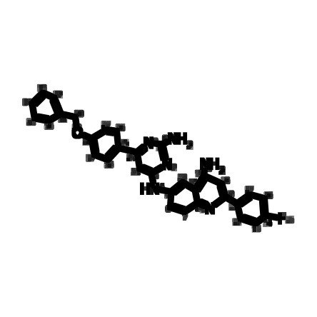 Nc1nc(Nc2ccc3nc(-c4ccc(F)cc4)cc(N)c3c2)cc(-c2ccc(OCc3ccccc3)cc2)n1